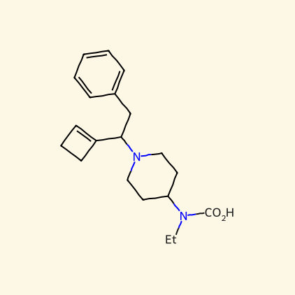 CCN(C(=O)O)C1CCN(C(Cc2ccccc2)C2=CCC2)CC1